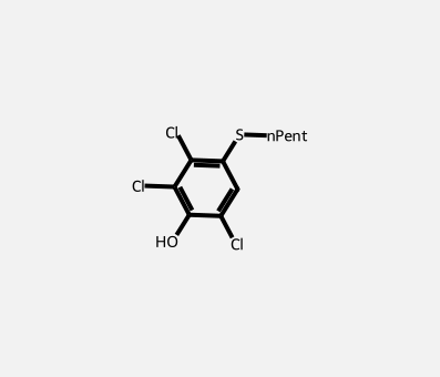 CCCCCSc1cc(Cl)c(O)c(Cl)c1Cl